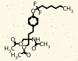 CCCCCCC(F)(F)Oc1ccc(CCC(COC(C)=O)(COC(C)=O)NC(C)=O)cc1